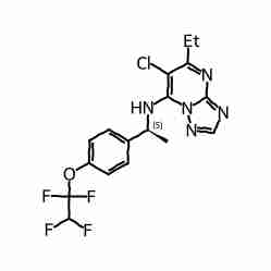 CCc1nc2ncnn2c(N[C@@H](C)c2ccc(OC(F)(F)C(F)F)cc2)c1Cl